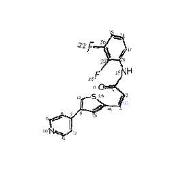 O=C(/C=C\c1cc(-c2ccncc2)cs1)Nc1cccc(F)c1F